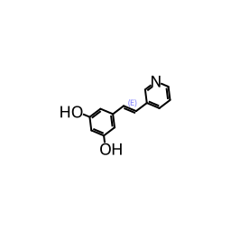 Oc1cc(O)cc(/C=C/c2cccnc2)c1